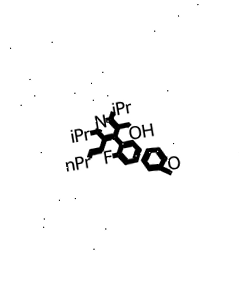 CCCC=Cc1c(C(C)C)nc(C(C)C)c(CO)c1-c1ccccc1F.c1ccc2c(c1)CO2